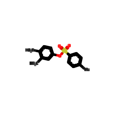 CC(C)(C)c1ccc(S(=O)(=O)Oc2ccc(C(=O)O)c(C(=O)O)c2)cc1